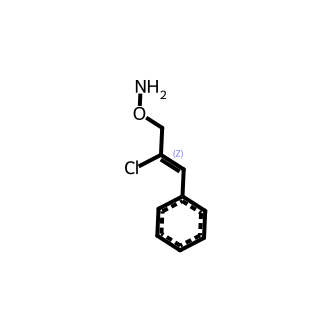 NOC/C(Cl)=C/c1ccccc1